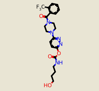 O=C(NCCCCO)Oc1ccc(N2CCN(C(=O)c3ccccc3C(F)(F)F)CC2)nn1